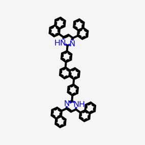 C1=C(c2cccc3ccccc23)N=C(c2ccc(-c3cccc4c(-c5ccc(C6N=C(c7cccc8ccccc78)C=C(c7cccc8ccccc78)N6)cc5)cccc34)cc2)NC1c1cccc2ccccc12